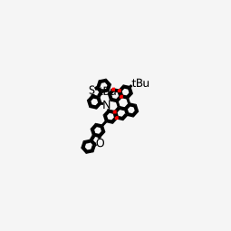 CC(C)(C)c1cc(-c2cccc3cccc(-c4ccccc4N(c4cccc(-c5ccc6c(c5)oc5ccccc56)c4)c4cccc5sc6ccccc6c45)c23)cc(C(C)(C)C)c1